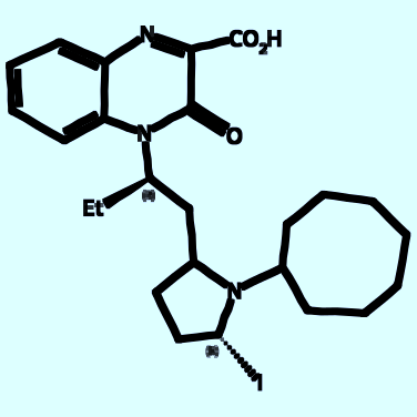 CC[C@H](CC1CC[C@@H](I)N1C1CCCCCCC1)n1c(=O)c(C(=O)O)nc2ccccc21